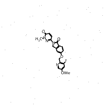 COc1cnc(COc2ccc3c(c2)CN(c2ccc(=O)n(C)n2)C3=O)c(F)c1